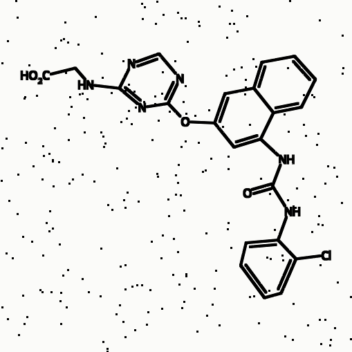 O=C(O)CNc1ncnc(Oc2cc(NC(=O)Nc3ccccc3Cl)c3ccccc3c2)n1